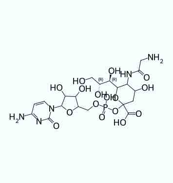 NCC(=O)NC1C(O)CC(OP(=O)(O)OCC2OC(n3ccc(N)nc3=O)C(O)C2O)(C(=O)O)OC1[C@H](O)[C@H](O)CO